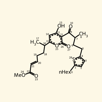 CCCCCCc1ccc(CCC(C)C(=O)c2c(O)cc(C(C)CC/C=C/C(=O)OC)oc2=O)s1